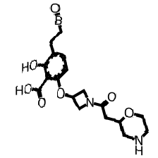 O=BCCc1ccc(OC2CN(C(=O)CC3CNCCO3)C2)c(C(=O)O)c1O